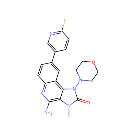 Cn1c(=O)n(N2CCOCC2)c2c3cc(-c4ccc(F)nc4)ccc3nc(N)c21